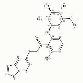 O=C(CCc1ccc2sccc2c1)c1c(O)cccc1O[C@@H]1O[C@H](CO)[C@@H](O)[C@H](O)[C@H]1O